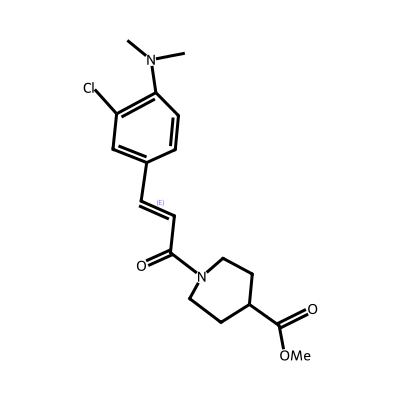 COC(=O)C1CCN(C(=O)/C=C/c2ccc(N(C)C)c(Cl)c2)CC1